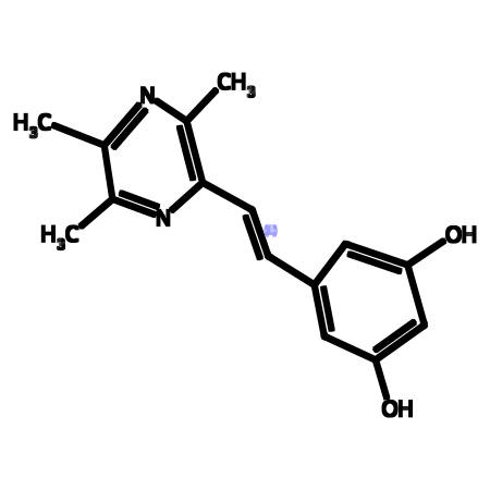 Cc1nc(C)c(/C=C/c2cc(O)cc(O)c2)nc1C